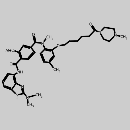 COc1cc(C(=O)N(C)c2ccc(C)cc2OCCCCCC(=O)N2CCN(C)CC2)ccc1C(=O)Nc1cccc2[nH]c(N(C)C)nc12